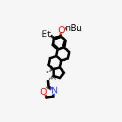 CCCCOc1cc2c(cc1CC)C1CC[C@@]3(C)C(CC[C@@H]3CC3=NCCO3)C1CC2